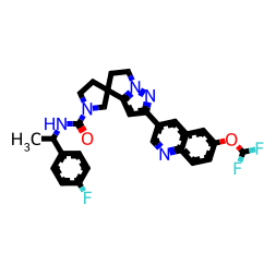 CC(NC(=O)N1CCC2(CCn3nc(-c4cnc5ccc(OC(F)F)cc5c4)cc32)C1)c1ccc(F)cc1